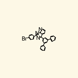 Brc1ccc(-c2nc(-c3cc(-c4ccccc4)cc(-c4ccccc4)c3)c3cccnc3n2)cc1